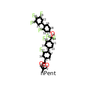 CCCCCC12COC(c3ccc(-c4ccc(C(F)(F)Oc5ccc(-c6cc(F)c(F)c(F)c6)c(F)c5)c(F)c4)c(F)c3)(OC1)OC2